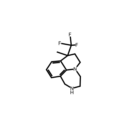 CC1(C(F)(F)F)CCN2CCNCc3cccc1c32